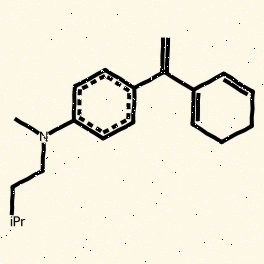 C=C(C1=CCCC=C1)c1ccc(N(C)CCC(C)C)cc1